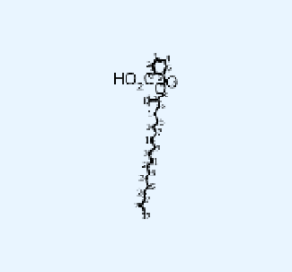 O=C(O)c1ccccc1C(=O)OCC(I)CCCCCCCCCCCCCCCCI